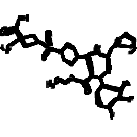 CCOC(=O)C1=C(C2CCN(S(=O)(=O)C3CC(C)(C(=O)O)C3)CC2)NC(c2nccs2)=NC1c1ccc(F)c(F)c1Cl